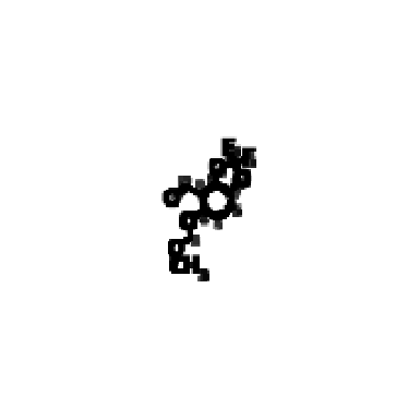 COCOc1ccc2c(c1C=O)OC(F)(F)O2